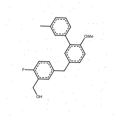 COc1ccc(Cc2ccc(F)c(CO)c2)cc1-c1cccc(C)c1